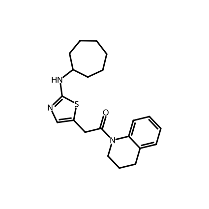 O=C(Cc1cnc(NC2CCCCCC2)s1)N1CCCc2ccccc21